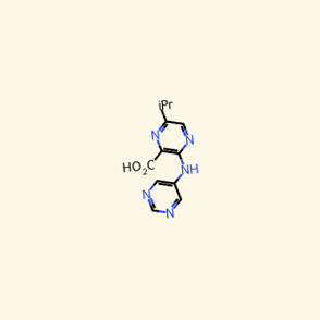 CC(C)c1cnc(Nc2cncnc2)c(C(=O)O)n1